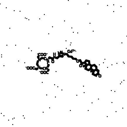 CC12CCC(=O)C=C1CCC1C2CCC2(C)C(C(=O)COCCCCCn3cc(CNC(=O)CN4CCN(CC(=O)[O-])CCN(CC(=O)[O-])CCN(CC(=O)[O-])CC4)nn3)CCC12.[Gd+3]